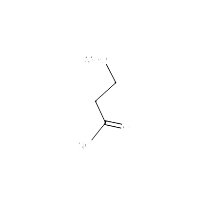 COCCC(=O)C#N